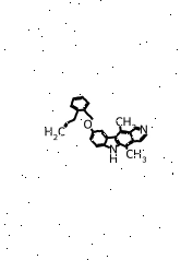 C=CCc1ccccc1COc1ccc2[nH]c3c(C)c4ccncc4c(C)c3c2c1